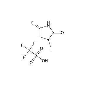 O=C1CC(I)C(=O)N1.O=S(=O)(O)C(F)(F)F